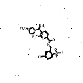 CCS(=O)(=O)c1ccc(Cl)cc1CNC(=O)c1ccc(C(N)N2CCC(C)C2)c(C(F)(F)F)c1